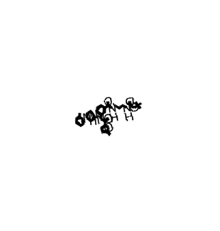 Cc1ccc(C(=O)Nc2cc(C(=O)NCCCNC(=O)OC(C)(C)C)ccc2N2CCN(c3ccccc3C)CC2)o1